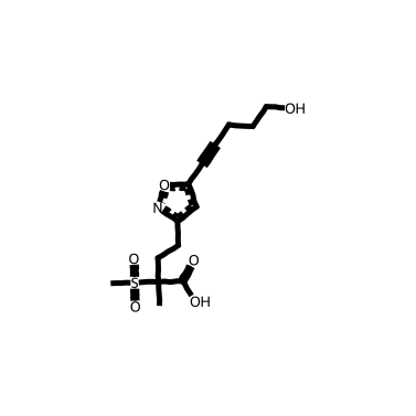 CC(CCc1cc(C#CCCCO)on1)(C(=O)O)S(C)(=O)=O